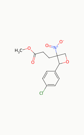 COC(=O)CCC1([N+](=O)[O-])COC1c1ccc(Cl)cc1